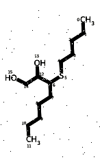 CCCCCSC(CCCCC)C(O)CO